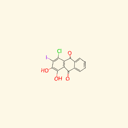 O=C1c2ccccc2C(=O)c2c(Cl)c(I)c(O)c(O)c21